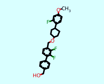 COc1ccc(C2CCC(OCc3ccc(-c4ccc(CO)cc4)c(F)c3F)CC2)c(F)c1